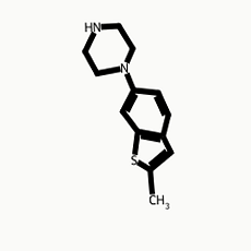 Cc1cc2ccc(N3CCNCC3)cc2s1